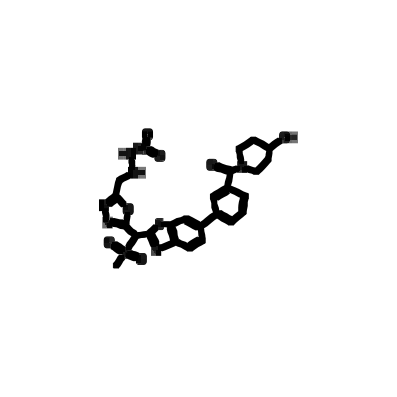 CS(=O)(=O)C(c1nnc(CNN[SH](=O)=O)o1)c1nc2ccc(-c3cccc(C(=O)N4CCC(O)CC4)c3)cc2s1